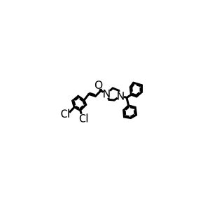 O=C(C=Cc1ccc(Cl)c(Cl)c1)N1CCN(C(c2ccccc2)c2ccccc2)CC1